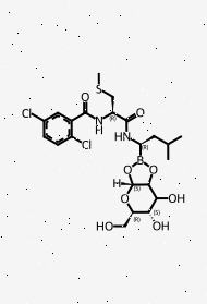 CSC[C@H](NC(=O)c1cc(Cl)ccc1Cl)C(=O)N[C@@H](CC(C)C)B1OC2C(O)[C@H](O)[C@@H](CO)O[C@@H]2O1